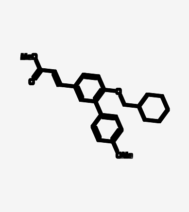 COC(=O)C=Cc1ccc(OCC2CCCCC2)c(-c2ccc(OC)cc2)c1